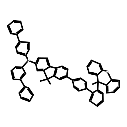 CC1(C)c2cc(-c3ccc(-c4ccccc4C4(C)c5ccccc5Oc5ccccc54)cc3)ccc2-c2ccc(N(c3ccc(-c4ccccc4)cc3)c3cccc(-c4ccccc4)c3)cc21